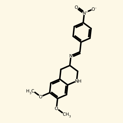 COc1cc2c(cc1OC)NCC(/N=C/c1ccc([N+](=O)[O-])cc1)C2